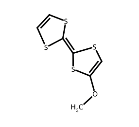 COC1=CSC(=C2SC=CS2)S1